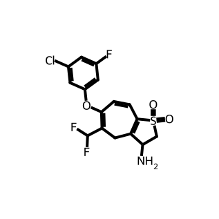 NC1CS(=O)(=O)C2=C1CC(C(F)F)=C(Oc1cc(F)cc(Cl)c1)C=C2